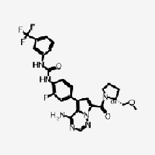 COC[C@H]1CCCN1C(=O)c1cc(-c2ccc(NC(=O)Nc3cccc(C(F)(F)F)c3)c(F)c2)c2c(N)ncnn12